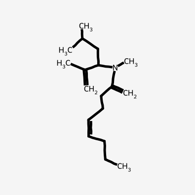 C=C(C)C(CC(C)C)N(C)C(=C)CC/C=C\CCC